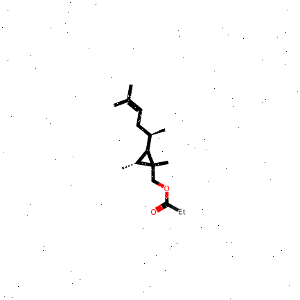 CCC(=O)OCC1(C)C([C@H](C)CC=C(C)C)[C@H]1C